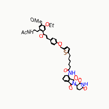 CCOc1cc(C(=O)/C=C/c2ccc(OCc3ccc(CCCCCC(=O)Nc4cccc5c4C(=O)N(C4CCC(=O)NC4=O)C5=O)s3)cc2)c(CCNC(C)=O)cc1OC